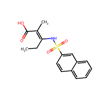 CC/C(NS(=O)(=O)c1ccc2ccccc2c1)=C(/C)C(=O)O